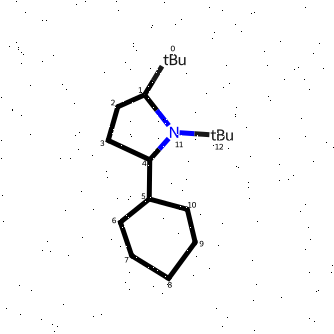 CC(C)(C)C1CCC(C2CCCCC2)N1C(C)(C)C